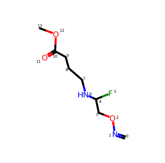 C=NOCC(F)NCCCC(=O)OC